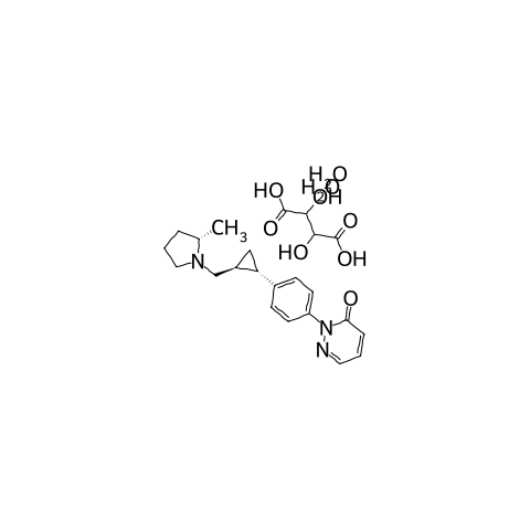 C[C@H]1CCCN1C[C@H]1C[C@@H]1c1ccc(-n2ncccc2=O)cc1.O.O.O=C(O)C(O)C(O)C(=O)O